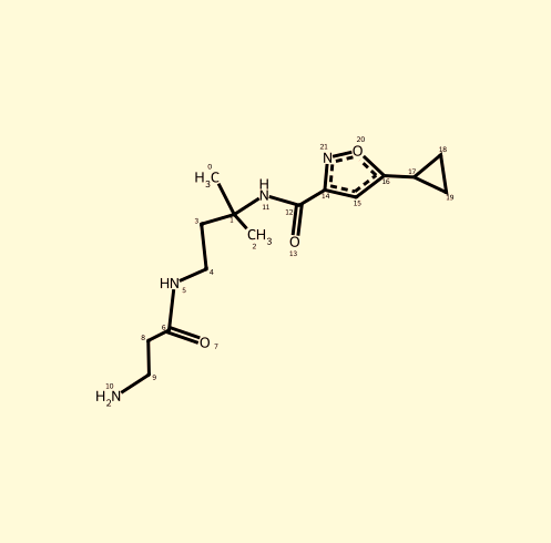 CC(C)(CCNC(=O)CCN)NC(=O)c1cc(C2CC2)on1